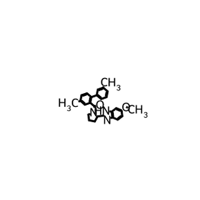 COc1ccc2nc(C3CCCN3C(=O)c3cc(C)ccc3-c3cccc(C)c3)[nH]c2c1